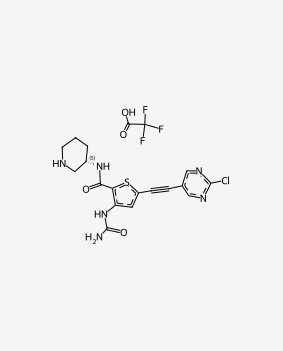 NC(=O)Nc1cc(C#Cc2cnc(Cl)nc2)sc1C(=O)N[C@H]1CCCNC1.O=C(O)C(F)(F)F